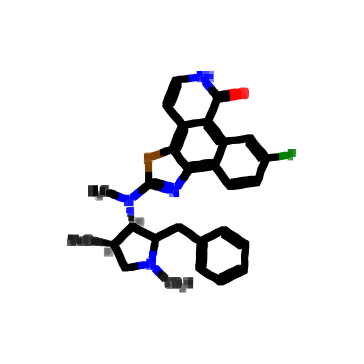 CO[C@@H]1CN(C(=O)O)C(Cc2ccccc2)[C@H]1N(C)c1nc2c3ccc(F)cc3c3c(=O)[nH]ccc3c2s1